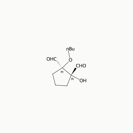 CCCCO[C@]1(C=O)CCC[C@]1(O)C=O